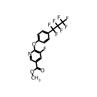 COC(=O)c1cnc(Oc2ccc(C(F)(F)C(F)(F)C(F)(F)F)cc2)c(F)c1